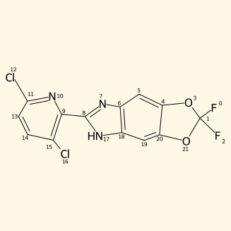 FC1(F)Oc2cc3nc(-c4nc(Cl)ccc4Cl)[nH]c3cc2O1